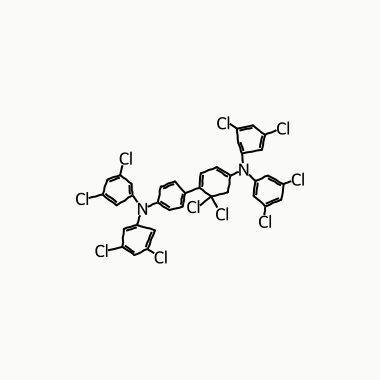 Clc1cc(Cl)cc(N(C2=CC=C(c3ccc(N(c4cc(Cl)cc(Cl)c4)c4cc(Cl)cc(Cl)c4)cc3)C(Cl)(Cl)C2)c2cc(Cl)cc(Cl)c2)c1